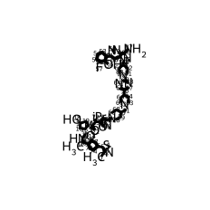 Cc1ncsc1-c1ccc([C@H](C)NC(=O)[C@@H]2C[C@@H](O)CN2C(=O)C(c2cc(N3CCC(CN4CCC(c5cnc(N6CCC(n7nc(N)c8nnc(-c9cccc(F)c9O)cc87)CC6)nc5)CC4)CC3)no2)C(C)C)cc1